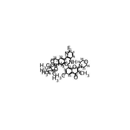 Cc1cc(C(C)Nc2ccc(F)nc2-c2ccc(B3OC(C)(C)C(C)(C)O3)c(C=O)c2)c2oc(N3CCOCC3)c(C)c(=O)c2c1